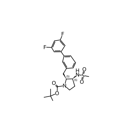 CC(C)(C)OC(=O)N1CC[C@H](NS(C)(=O)=O)[C@@H]1Cc1cccc(-c2cc(F)cc(F)c2)c1